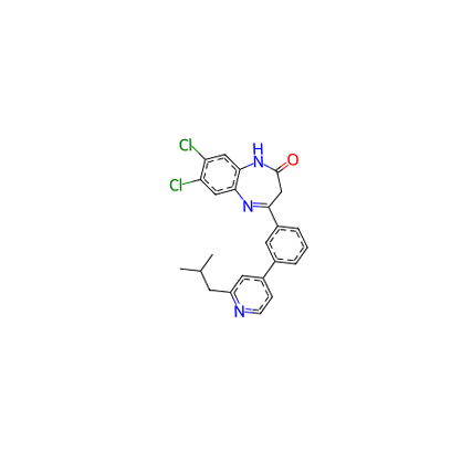 CC(C)Cc1cc(-c2cccc(C3=Nc4cc(Cl)c(Cl)cc4NC(=O)C3)c2)ccn1